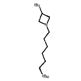 CC(C)(C)CCCCCCN1CC(C(C)(C)C)C1